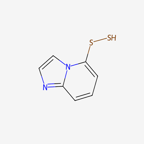 SSc1cccc2nccn12